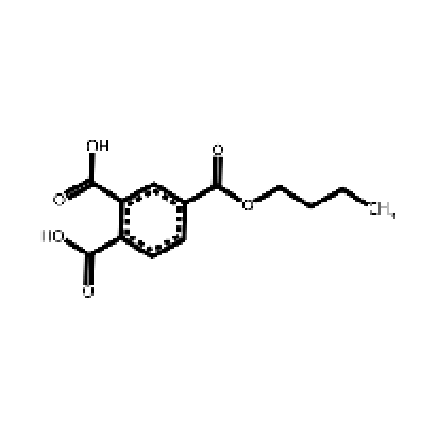 CCCCOC(=O)c1ccc(C(=O)O)c(C(=O)O)c1